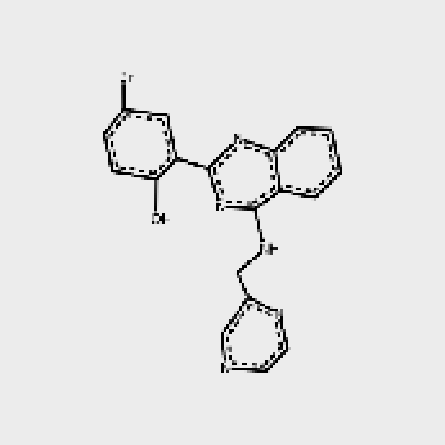 Oc1ccc(Br)cc1-c1nc(NCc2cnccn2)c2ccccc2n1